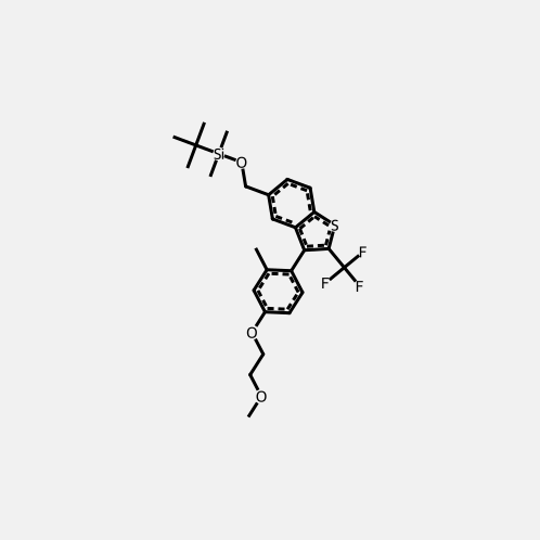 COCCOc1ccc(-c2c(C(F)(F)F)sc3ccc(CO[Si](C)(C)C(C)(C)C)cc23)c(C)c1